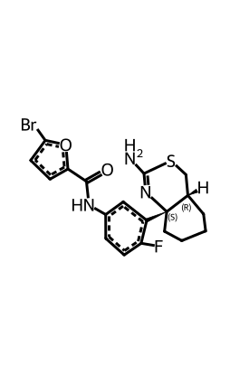 NC1=N[C@@]2(c3cc(NC(=O)c4ccc(Br)o4)ccc3F)CCCC[C@H]2CS1